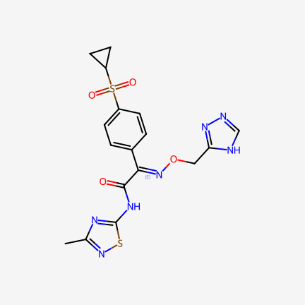 Cc1nsc(NC(=O)/C(=N/OCc2nnc[nH]2)c2ccc(S(=O)(=O)C3CC3)cc2)n1